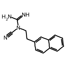 N#CN(CCc1ccc2ccccc2c1)C(=N)N